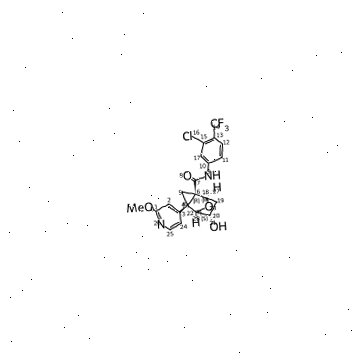 COc1cc([C@@]23C[C@]2(C(=O)Nc2ccc(C(F)(F)F)c(Cl)c2)[C@H]2C[C@H](O)[C@@H]3O2)ccn1